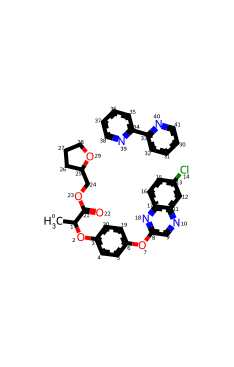 CC(Oc1ccc(Oc2cnc3cc(Cl)ccc3n2)cc1)C(=O)OCC1CCCO1.c1ccc(-c2ccccn2)nc1